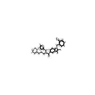 Cc1c(C)n(Cc2ccccc2F)c2ccc(C(=O)N(CCCN3CCOCC3)Cc3ccco3)cc12